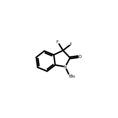 CC(C)(C)N1C(=O)C(F)(F)c2ccccc21